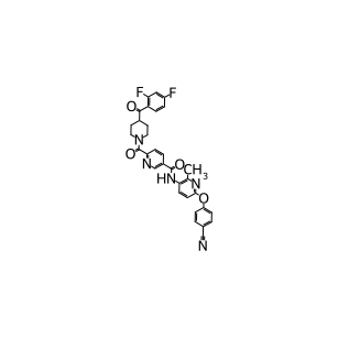 Cc1nc(Oc2ccc(C#N)cc2)ccc1NC(=O)c1ccc(C(=O)N2CCC(C(=O)c3ccc(F)cc3F)CC2)nc1